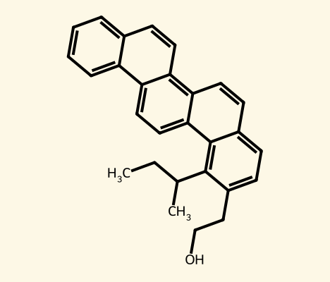 CCC(C)c1c(CCO)ccc2ccc3c4ccc5ccccc5c4ccc3c12